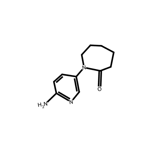 Nc1ccc(N2CCCCCC2=O)cn1